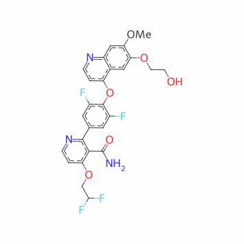 COc1cc2nccc(Oc3c(F)cc(-c4nccc(OCC(F)F)c4C(N)=O)cc3F)c2cc1OCCO